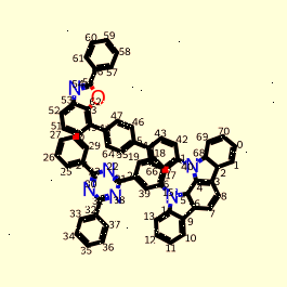 C1=CC2C3=C(C4C(C=C3)c3ccccc3N4c3cccc(-c4nc(-c5ccccc5)nc(-c5ccccc5)n4)c3)N(c3ccc(-c4ccc(-c5cccc6nc(-c7ccccc7)oc56)cc4)cc3)C2C=C1